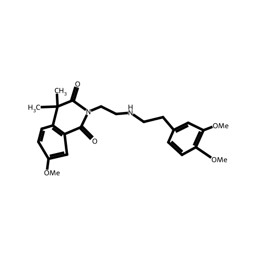 COc1ccc2c(c1)C(=O)N(CCNCCc1ccc(OC)c(OC)c1)C(=O)C2(C)C